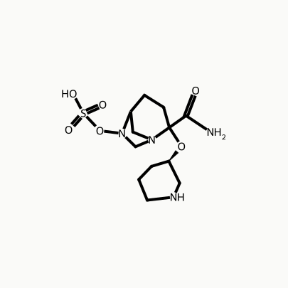 NC(=O)C1(O[C@@H]2CCCNC2)CCC2CN1CN2OS(=O)(=O)O